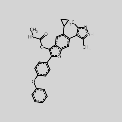 CNC(=O)Oc1c(-c2ccc(Oc3ccccc3)cc2)oc2cc(-c3c(C)n[nH]c3C)c(C3CC3)cc12